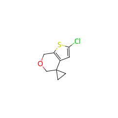 Clc1cc2c(s1)COCC21CC1